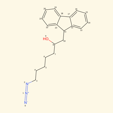 [N-]=[N+]=NCCCCCC(O)CC1c2ccccc2-c2ccccc21